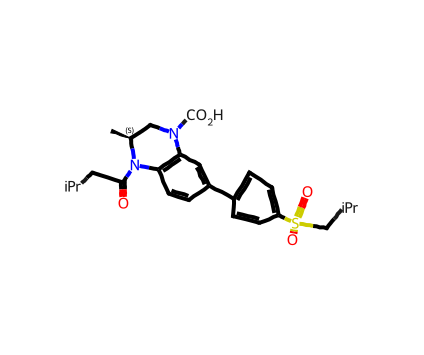 CC(C)CC(=O)N1c2ccc(-c3ccc(S(=O)(=O)CC(C)C)cc3)cc2N(C(=O)O)C[C@@H]1C